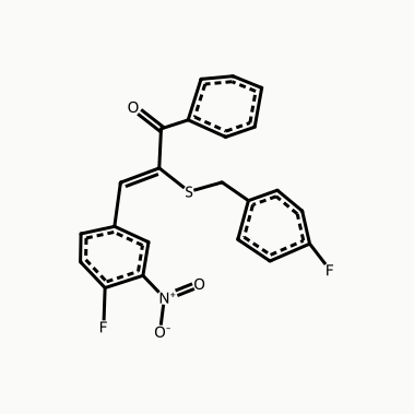 O=C(C(=Cc1ccc(F)c([N+](=O)[O-])c1)SCc1ccc(F)cc1)c1ccccc1